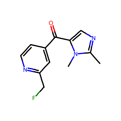 Cc1ncc(C(=O)c2ccnc(CF)c2)n1C